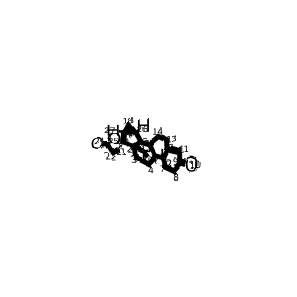 CCC12CCC3C4CCC(=O)C=C4CCC3C1[C@H]1C[C@H]1[C@@]21CCC(=O)O1